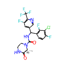 C[C@@H]1C(=O)NCCN1C(=O)NC(c1cnc(C(F)(F)F)c(F)c1)c1ccc(F)c(Cl)c1F